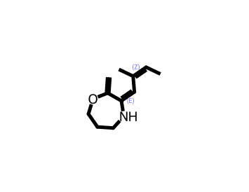 C=C1OCCCN/C1=C/C(C)=C\C